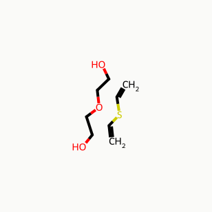 C=CSC=C.OCCOCCO